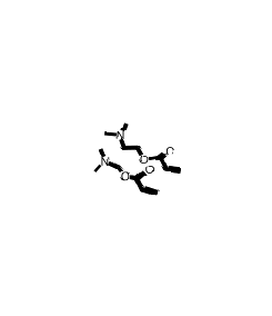 C=CC(=O)OCCN(C)C.C=CC(=O)OCN(C)C